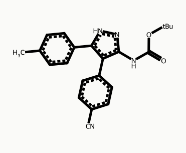 Cc1ccc(-c2[nH]nc(NC(=O)OC(C)(C)C)c2-c2ccc(C#N)cc2)cc1